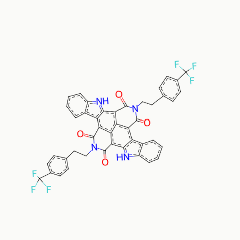 O=C1c2c3[nH]c4ccccc4c3c3c4c(c5[nH]c6ccccc6c5c(c24)C(=O)N1CCc1ccc(C(F)(F)F)cc1)C(=O)N(CCc1ccc(C(F)(F)F)cc1)C3=O